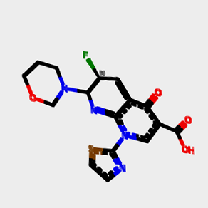 O=C(O)c1cn(-c2nccs2)c2c(c1=O)=C[C@H](F)C(N1CCCOC1)N=2